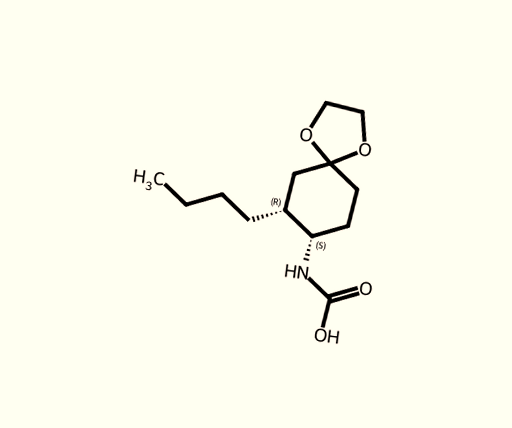 CCCC[C@@H]1CC2(CC[C@@H]1NC(=O)O)OCCO2